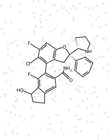 NC(=O)c1cc2c(c(F)c1-c1c(Cl)c(F)cc3c1C[C@](c1ccccc1)([C@@H]1CCCN1)O3)C(O)CC2